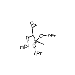 CCCOC(C1CO1)[Si](C)(OCCC)OCCC